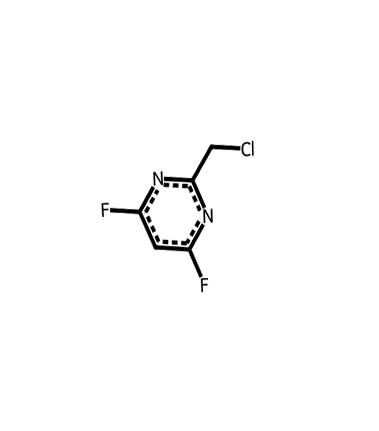 Fc1cc(F)nc(CCl)n1